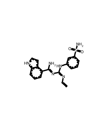 C=C/N=C(\N=C(/N)c1cccc2[nH]ccc12)Nc1cccc(S(N)(=O)=O)c1